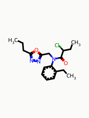 CCCc1nnc(CN(C(=O)C(Cl)CC)c2ccccc2CC)o1